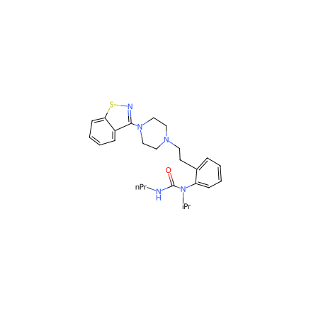 CCCNC(=O)N(c1ccccc1CCN1CCN(c2nsc3ccccc23)CC1)C(C)C